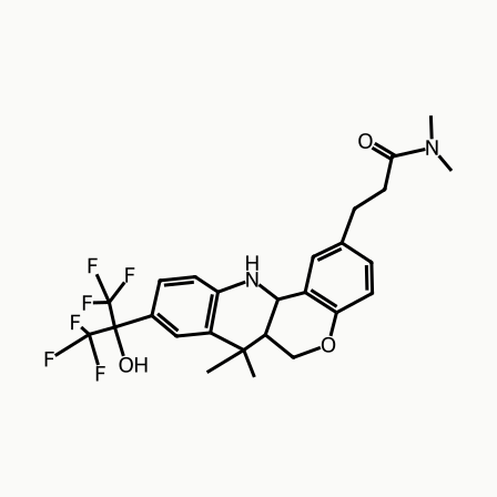 CN(C)C(=O)CCc1ccc2c(c1)C1Nc3ccc(C(O)(C(F)(F)F)C(F)(F)F)cc3C(C)(C)C1CO2